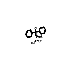 NCC(O)(c1ccccc1)c1ccccc1.OBO